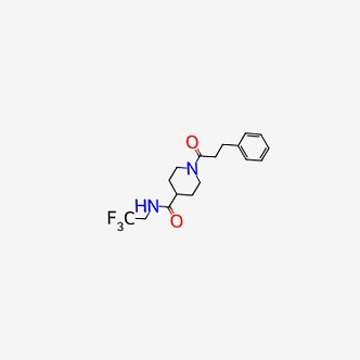 O=C(NCC(F)(F)F)C1CCN(C(=O)CCc2ccccc2)CC1